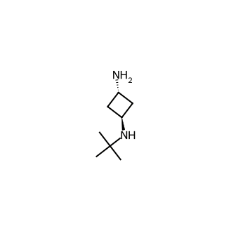 CC(C)(C)N[C@H]1C[C@H](N)C1